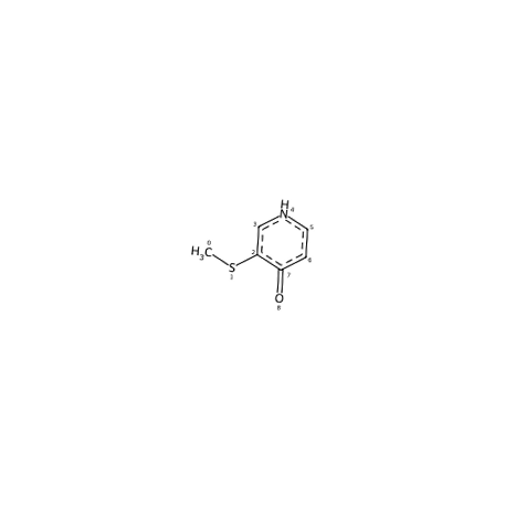 CSc1c[nH]ccc1=O